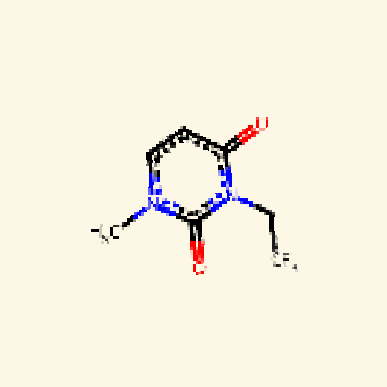 Cn1ccc(=O)n(CC(F)(F)F)c1=O